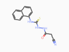 N#CCC(=O)NNC(=S)Nc1cccc2ccccc12